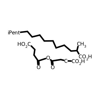 CCCC(C)CCCCCCCCC(C)C(=O)O.O=C(O)CCC(=O)OC(=O)CCC(=O)O